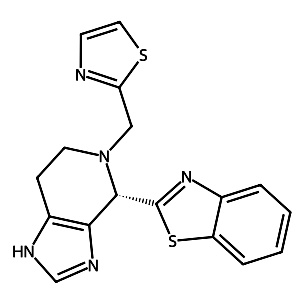 c1ccc2sc([C@@H]3c4nc[nH]c4CCN3Cc3nccs3)nc2c1